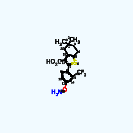 CC1(C)CCc2sc(-c3ccc(ON)cc3C(F)(F)F)c(C(=O)O)c2C1